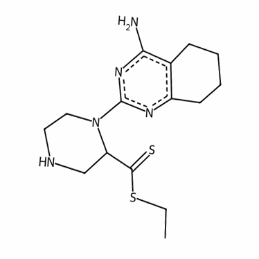 CCSC(=S)C1CNCCN1c1nc(N)c2c(n1)CCCC2